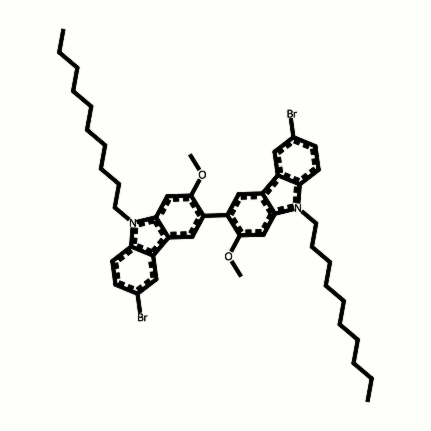 CCCCCCCCCCn1c2ccc(Br)cc2c2cc(-c3cc4c5cc(Br)ccc5n(CCCCCCCCCC)c4cc3OC)c(OC)cc21